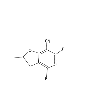 CC1Cc2c(F)cc(F)c(C#N)c2O1